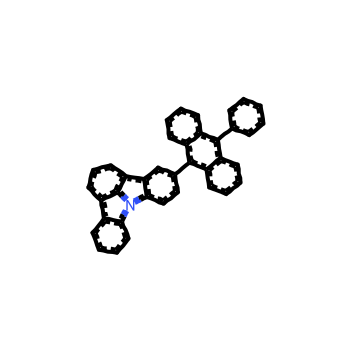 c1ccc(-c2c3ccccc3c(-c3ccc4c(c3)c3cccc5c6ccccc6n4c53)c3ccccc23)cc1